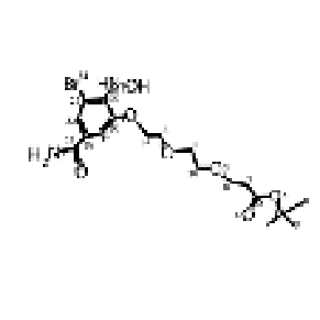 CC(C)(C)OC(=O)CCOCCOCCOc1cc(C(N)=O)cc(Br)c1NO